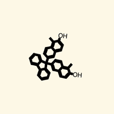 Cc1c(O)ccc2cc(C3(c4ccc5c(C)c(O)ccc5c4)c4ccccc4-c4ccccc43)ccc12